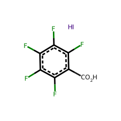 I.O=C(O)c1c(F)c(F)c(F)c(F)c1F